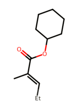 CCC=C(C)C(=O)OC1CCCCC1